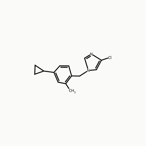 Cc1cc(C2CC2)ccc1Cn1cnc(Cl)c1